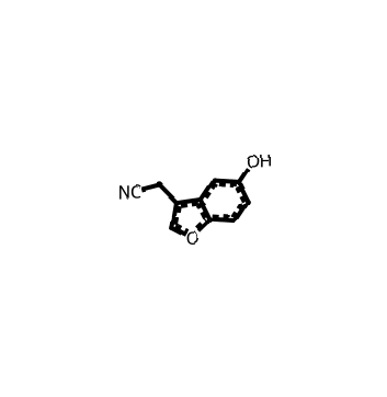 N#CCc1coc2ccc(O)cc12